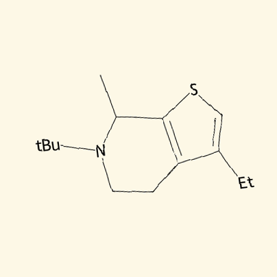 CCc1csc2c1CCN(C(C)(C)C)C2C